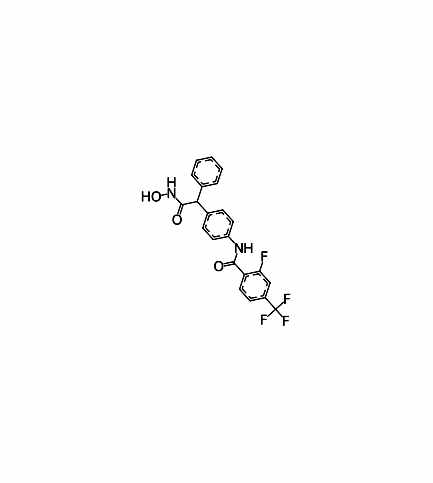 O=C(Nc1ccc(C(C(=O)NO)c2ccccc2)cc1)c1ccc(C(F)(F)F)cc1F